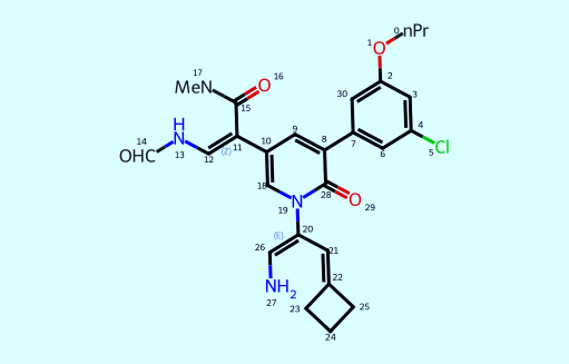 CCCOc1cc(Cl)cc(-c2cc(/C(=C/NC=O)C(=O)NC)cn(/C(C=C3CCC3)=C/N)c2=O)c1